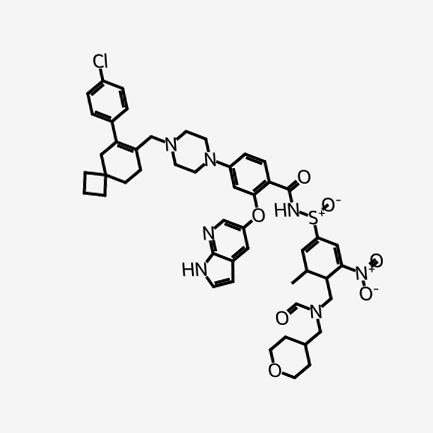 CC1C=C([S+]([O-])NC(=O)c2ccc(N3CCN(CC4=C(c5ccc(Cl)cc5)CC5(CCC5)CC4)CC3)cc2Oc2cnc3[nH]ccc3c2)C=C([N+](=O)[O-])C1CN(C=O)CC1CCOCC1